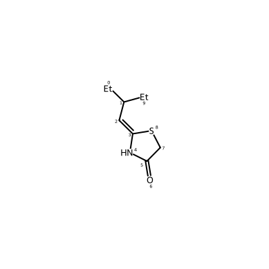 CCC(C=C1NC(=O)CS1)CC